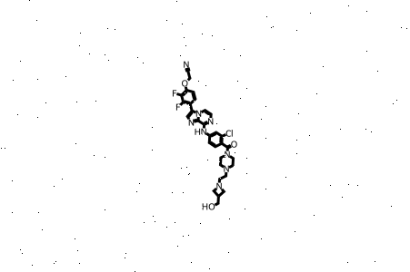 N#CCOc1ccc(-c2cnc3c(Nc4ccc(C(=O)N5CCN(CCN6CC(CO)C6)CC5)c(Cl)c4)nccn23)c(F)c1F